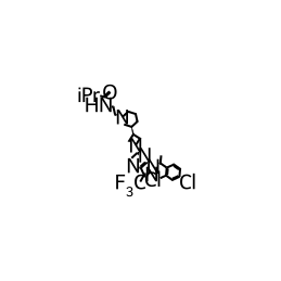 CC(C)C(=O)NCCN1CCC[C@@H](C2CN(c3cnc4c(C(F)(F)F)nn(C(C)c5ccc(Cl)cc5Cl)c4n3)C2)C1